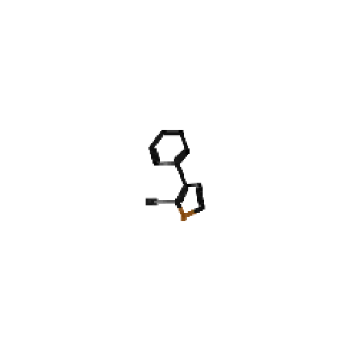 N#Cc1sccc1-c1c[c]ccc1